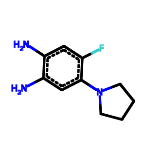 Nc1cc(F)c(N2CCCC2)cc1N